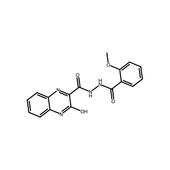 COc1ccccc1C(=O)NNC(=O)c1nc2ccccc2nc1O